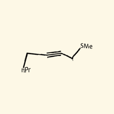 CCCCC#C[CH]SC